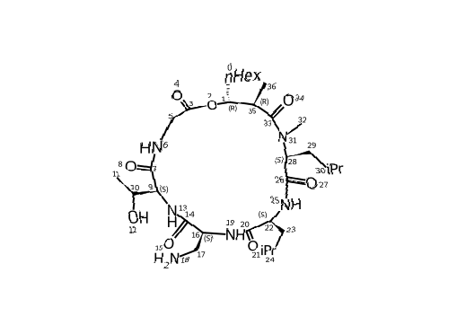 CCCCCC[C@H]1OC(=O)CNC(=O)[C@H](C(C)O)NC(=O)[C@H](CN)NC(=O)[C@H](CC(C)C)NC(=O)[C@H](CC(C)C)N(C)C(=O)[C@@H]1C